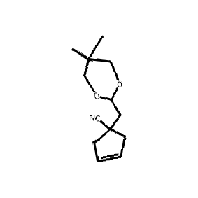 CC1(C)COC(CC2(C#N)CC=CC2)OC1